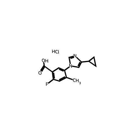 Cc1cc(F)c(C(=O)O)cc1-n1cnc(C2CC2)c1.Cl